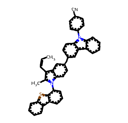 C/C=C\c1c(C)n(-c2cccc3c2sc2ccccc23)c2ccc(-c3ccc4c(c3)c3ccccc3n4-c3ccc(C#N)cc3)cc12